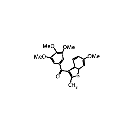 COC1=CC2SC(C)=C(C(=O)c3cc(OC)c(OC)c(OC)c3)C2C=C1